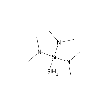 CN(C)[Si]([SiH3])(N(C)C)N(C)C